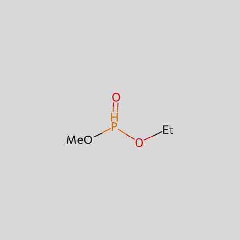 CCO[PH](=O)OC